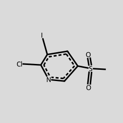 CS(=O)(=O)c1cnc(Cl)c(I)c1